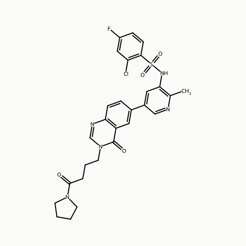 Cc1ncc(-c2ccc3ncn(CCCC(=O)N4CCCC4)c(=O)c3c2)cc1NS(=O)(=O)c1ccc(F)cc1Cl